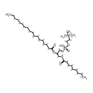 CCCCCCCCCCCCCCCCCC(=O)OC(COC(=O)CCCCCCCC)COP(=O)(O)OCC[N+](C)(C)C